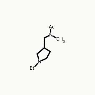 CCN1CCC(CN(C)C(C)=O)C1